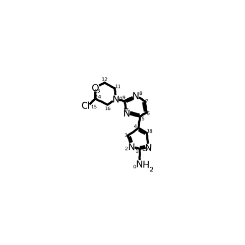 Nc1ncc(-c2ccnc(N3CCOC(Cl)C3)n2)cn1